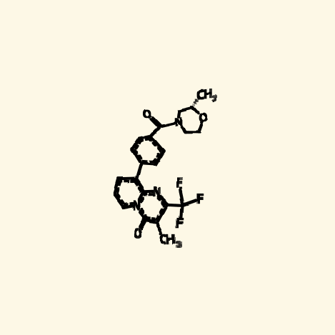 Cc1c(C(F)(F)F)nc2c(-c3ccc(C(=O)N4CCO[C@@H](C)C4)cc3)cccn2c1=O